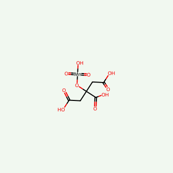 O=C(O)CC(CC(=O)O)([O][Mn](=[O])(=[O])[OH])C(=O)O